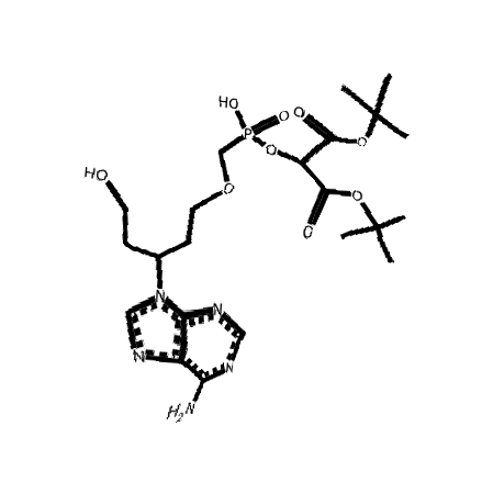 CC(C)(C)OC(=O)C(OP(=O)(O)COCCC(CCO)n1cnc2c(N)ncnc21)C(=O)OC(C)(C)C